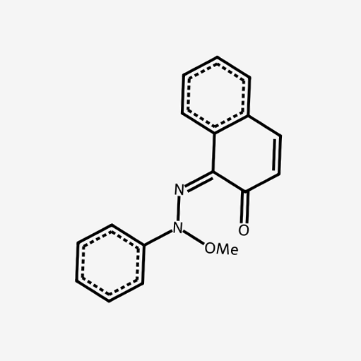 CON(N=C1C(=O)C=Cc2ccccc21)c1ccccc1